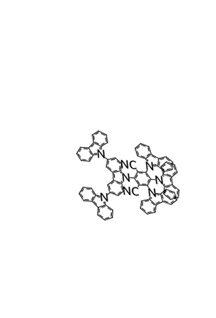 N#Cc1c(-n2c3ccc(-n4c5ccccc5c5ccccc54)cc3c3cc(-n4c5ccccc5c5ccccc54)ccc32)c(C#N)c(-n2c3ccccc3c3ccccc32)c(-n2c3ccccc3c3ccccc32)c1-n1c2ccccc2c2ccccc21